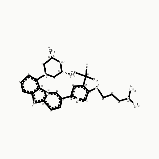 C[C@@H]1CN(c2cccc3nc4ccc(-c5ccc(OCCCN(C)C)c(C(F)(F)F)c5)cn4c23)C[C@H](C)O1